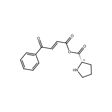 O=C(C=CC(=O)c1ccccc1)OC(=O)[C@@H]1CCCN1